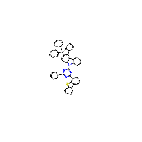 c1ccc(-c2nc(-c3cccc4c3sc3ccccc34)nc(-n3c4ccccc4c4c5c(ccc43)C(c3ccccc3)(c3ccccc3)c3ccccc3-5)n2)cc1